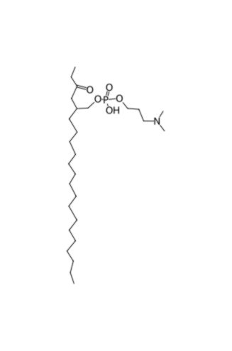 CCCCCCCCCCCCCCCCC(COP(=O)(O)OCCCN(C)C)CC(=O)CC